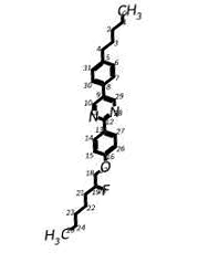 CCCCCc1ccc(-c2cnc(-c3ccc(OCC(F)CCCCC)cc3)nc2)cc1